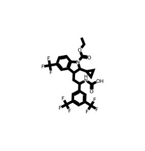 CCOC(=O)N1c2ccc(C(F)(F)F)cc2C(CC(NC(=O)O)c2cc(C(F)(F)F)cc(C(F)(F)F)c2)C1C1CC1